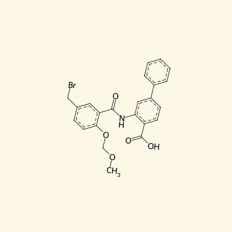 COCOc1ccc(CBr)cc1C(=O)Nc1cc(-c2ccccc2)ccc1C(=O)O